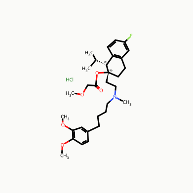 COCC(=O)O[C@@]1(CCN(C)CCCCc2ccc(OC)c(OC)c2)CCc2cc(F)ccc2[C@H]1C(C)C.Cl